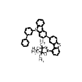 CC1(C)OB(c2cccc3sc4ccc(-c5ccc6c(c5)c5ccccc5n6-c5cccc(-c6ccccc6)c5)cc4c23)OC1(C)C